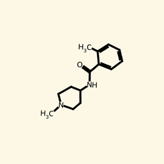 Cc1ccccc1C(=O)NC1CCN(C)CC1